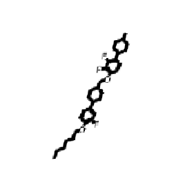 CCCCCCOc1ccc(C2CCC(COc3ccc(C4CCC(C)CC4)c(F)c3F)CC2)cc1F